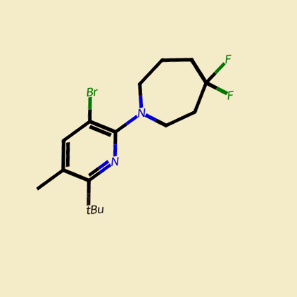 Cc1cc(Br)c(N2CCCC(F)(F)CC2)nc1C(C)(C)C